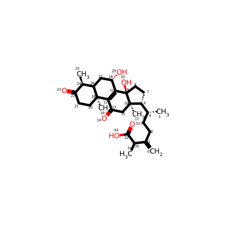 C=C(CC[C@@H](C)[C@H]1CC[C@@]2(O)C3=C(C(=O)C[C@]12C)[C@@]1(C)CCC(=O)[C@@H](C)C1C[C@@H]3O)C(C)C(=O)O